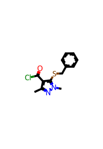 Cc1nn(C)c(SCc2ccccc2)c1C(=O)Cl